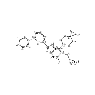 Cc1nc2cc(-c3cccc(-c4ccccc4)c3)nn2c(N2CCC3(CC2)CC3)c1CC(=O)O